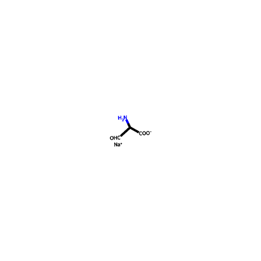 NC(C=O)C(=O)[O-].[Na+]